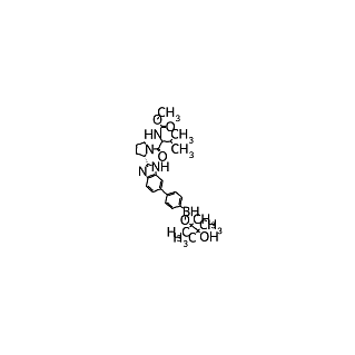 COC(=O)N[C@H](C(=O)N1CCC[C@H]1c1nc2ccc(-c3ccc(BOC(C)(C)C(C)(C)O)cc3)cc2[nH]1)C(C)C